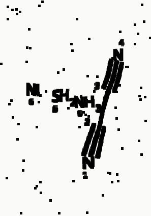 N.N#CC#N.S.[Ni]